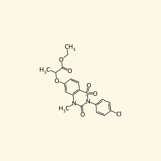 CCOC(=O)C(C)Oc1ccc2c(c1)N(C)C(=O)N(c1ccc(Cl)cc1)S2(=O)=O